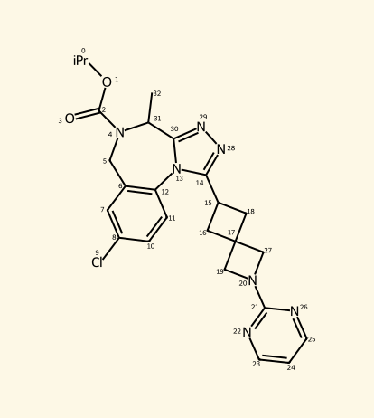 CC(C)OC(=O)N1Cc2cc(Cl)ccc2-n2c(C3CC4(C3)CN(c3ncccn3)C4)nnc2C1C